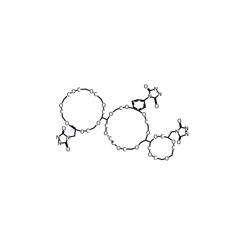 O=C1N=NC(=O)N1C/C1=C/OCCOCCOCCOCCOCC(C2COCCOCCOCC(C3COCCOCCOC(CN4C(=O)N=NC4=O)CO3)OCCOc3cc(N4C(=O)N=NC4=O)ccc3OCCO2)OCCO1